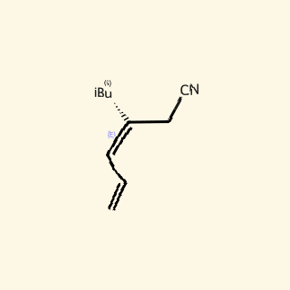 C=C/C=C(\CC#N)[C@@H](C)CC